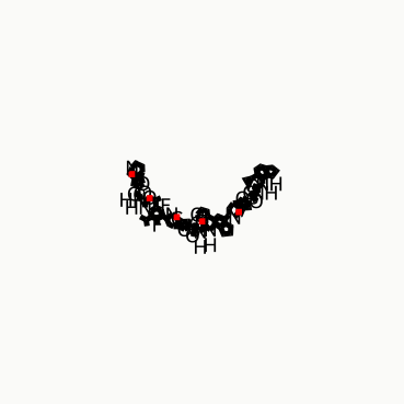 CC(C)c1c(F)c(C2CC3CCN2Cc2cc(S(=O)(=O)NC(=O)Nc4c(C5CCOCC5)cc(C5CC6CCN5Cc5cc(S(=O)(=O)NC(=O)Nc7c(C8CC8)ccc8c7CCC8)oc56)c5c4CCC5)oc23)c(F)c(C(C)C)c1NC(=O)NS(=O)(=O)c1cc2c(o1)C1CCN(CC1)C2